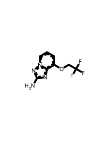 Nc1nc2c(OCC(F)(F)F)cccn2n1